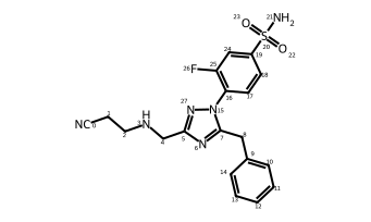 N#CCCNCc1nc(Cc2ccccc2)n(-c2ccc(S(N)(=O)=O)cc2F)n1